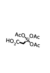 CC(=O)O[Si](CC(=O)O)(OC(C)=O)OC(C)=O